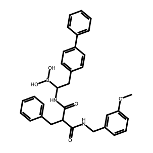 COc1cccc(CNC(=O)C(Cc2ccccc2)C(=O)NC(Cc2ccc(-c3ccccc3)cc2)B(O)O)c1